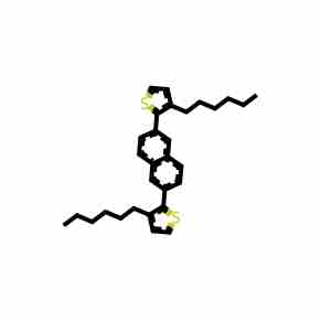 CCCCCCc1ccsc1-c1ccc2cc(-c3sccc3CCCCCC)ccc2c1